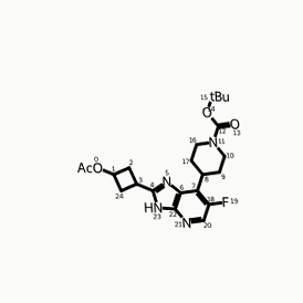 CC(=O)OC1CC(c2nc3c(C4CCN(C(=O)OC(C)(C)C)CC4)c(F)cnc3[nH]2)C1